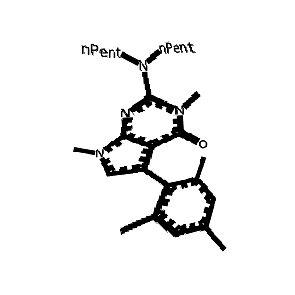 CCCCCN(CCCCC)c1nc2c(c(-c3c(C)cc(C)cc3C)cn2C)c(=O)n1C